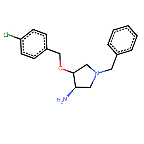 N[C@@H]1CN(Cc2ccccc2)CC1OCc1ccc(Cl)cc1